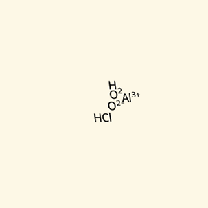 Cl.O.[Al+3].[O-2]